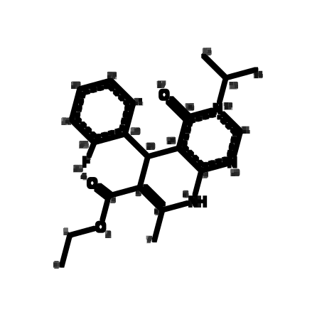 CCOC(=O)C1=C(C)Nc2ncn(C(C)C)c(=O)c2C1c1ccccc1F